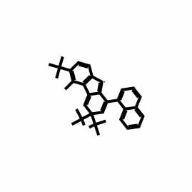 Cc1c(C(C)(C)C)ccc2c1C1=CC(C(C)(C)C)(C(C)(C)C)C=C(c3cccc4ccccc34)C1=[C]2